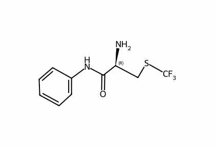 N[C@@H](CSC(F)(F)F)C(=O)Nc1ccccc1